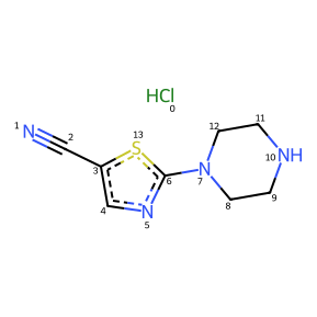 Cl.N#Cc1cnc(N2CCNCC2)s1